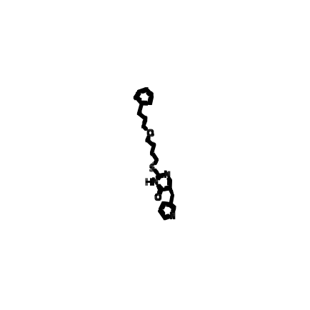 O=c1[nH]c(SCCCCOCCCc2ccccc2)ncc1Cc1cccnc1